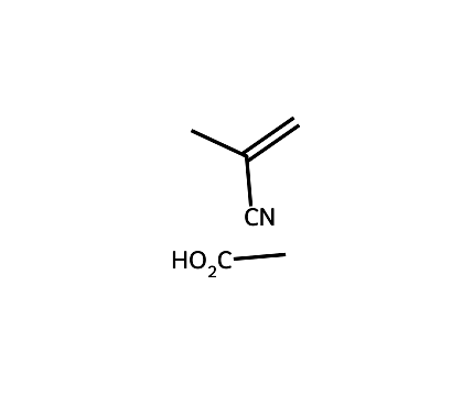 C=C(C)C#N.CC(=O)O